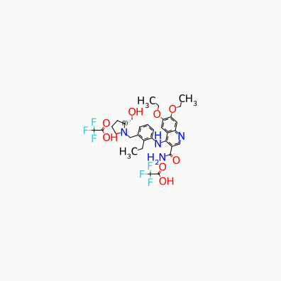 CCOc1cc2ncc(C(N)=O)c(Nc3cccc(CN4CCC[C@@H]4CO)c3CC)c2cc1OCC.O=C(O)C(F)(F)F.O=C(O)C(F)(F)F